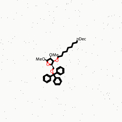 CCCCCCCCCCCCCCCCCCO[C@@H]1[C@@H](OC)[C@H](OC)O[C@@H]1COC(c1ccccc1)(c1ccccc1)c1ccccc1